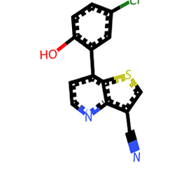 N#Cc1csc2c(-c3cc(Cl)ccc3O)ccnc12